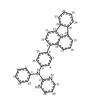 c1ccc(N(c2ccc(-c3ccc4c5c(cccc35)-c3ccccc3-4)cc2)c2ncccn2)cc1